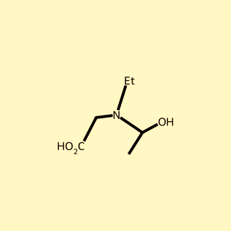 CCN(CC(=O)O)C(C)O